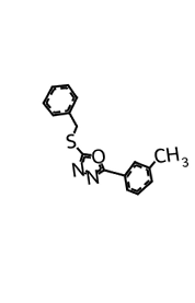 Cc1cccc(-c2nnc(SCc3ccccc3)o2)c1